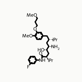 COCCCOc1cc(C[C@@H](C[C@H](N)[C@@H](O)C[C@H](C(=O)Nc2cccc(F)c2)C(C)C)C(C)C)ccc1OC